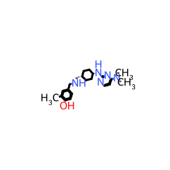 Cc1cc(CNC[C@H]2CC[C@@H](Nc3nccc(N(C)C)n3)CC2)ccc1O